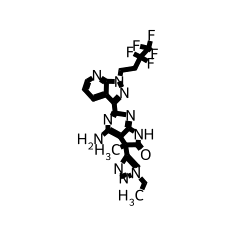 CCn1cc(C2(C)C(=O)Nc3nc(-c4nn(CCC(F)(F)C(F)(F)F)c5ncccc45)nc(N)c32)nn1